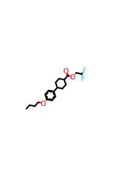 CCCCOc1ccc(C2CCC(C(=O)OCC(F)F)CC2)cc1